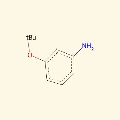 CC(C)(C)Oc1[c]c(N)ccc1